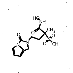 C[C@@](CCN1Cc2cccn2C1=O)(C(=O)NO)S(C)(=O)=O